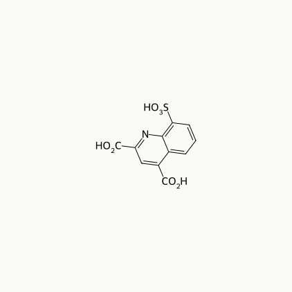 O=C(O)c1cc(C(=O)O)c2cccc(S(=O)(=O)O)c2n1